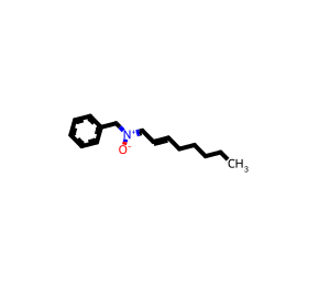 CCCCCC=CC=[N+]([O-])Cc1ccccc1